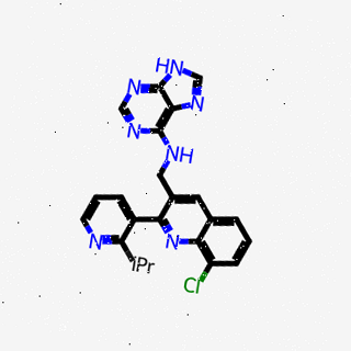 CC(C)c1ncccc1-c1nc2c(Cl)cccc2cc1CNc1ncnc2[nH]cnc12